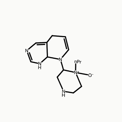 CCC[N+]1([O-])CCNCC1N1C=CCC2=CN=CNC21